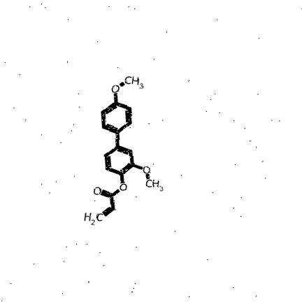 C=CC(=O)Oc1ccc(-c2ccc(OC)cc2)cc1OC